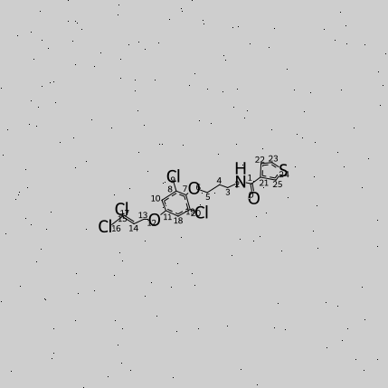 O=C(NCCCOc1c(Cl)cc(OCC=C(Cl)Cl)cc1Cl)c1ccsc1